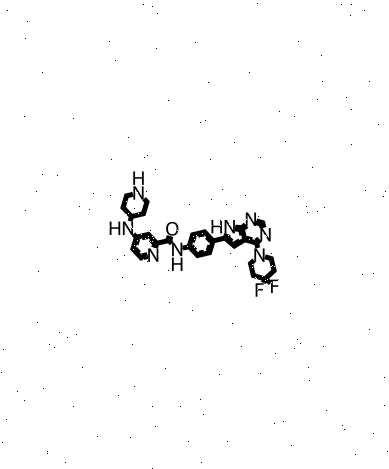 O=C(Nc1ccc(-c2cc3c(N4CCC(F)(F)CC4)ncnc3[nH]2)cc1)c1cc(NC2CCNCC2)ccn1